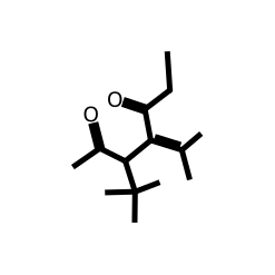 CCC(=O)C(=C(C)C)C(C(C)=O)C(C)(C)C